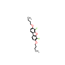 CCCCOc1ccc2c(oc3c(F)c(OCCCC)ccc32)c1F